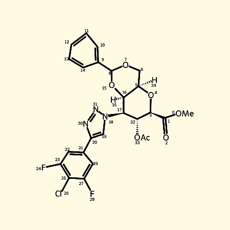 COC(=O)[C@@H]1O[C@@H]2COC(c3ccccc3)O[C@@H]2[C@H](n2cc(-c3cc(F)c(Cl)c(F)c3)nn2)[C@H]1OC(C)=O